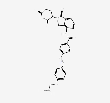 CC(Cl)COc1ccc(/N=N/c2ccc(C(=O)Nc3cccc4c3CN(C3CCC(=O)NC3=O)C4=O)cc2)cc1